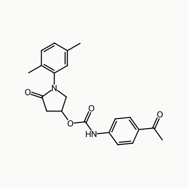 CC(=O)c1ccc(NC(=O)OC2CC(=O)N(c3cc(C)ccc3C)C2)cc1